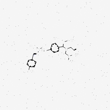 C=CCN(CP(OC)OC)C(c1ccc(O[PH](=S)N(C)/N=C/c2ccc(OC)cc2)cc1)P(OC)OC